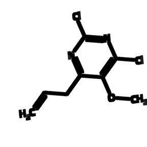 C=CCc1nc(Cl)nc(Cl)c1OC